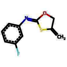 C=C1COC(=Nc2cccc(F)c2)S1